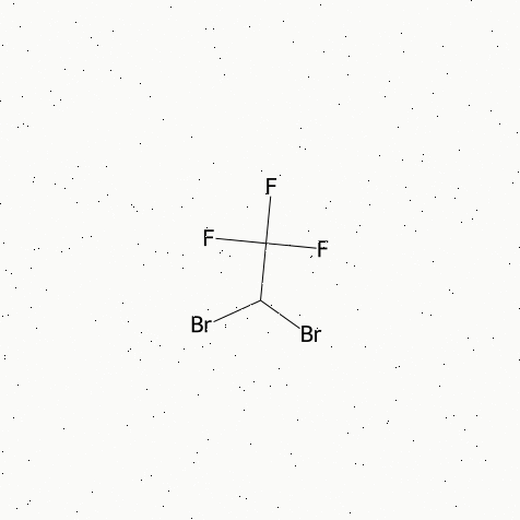 FC(F)(F)C(Br)Br